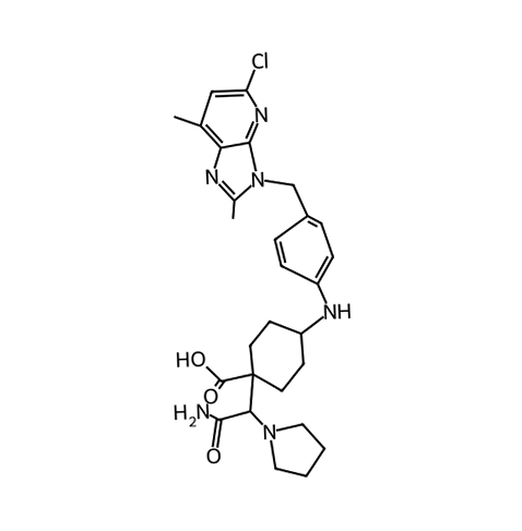 Cc1cc(Cl)nc2c1nc(C)n2Cc1ccc(NC2CCC(C(=O)O)(C(C(N)=O)N3CCCC3)CC2)cc1